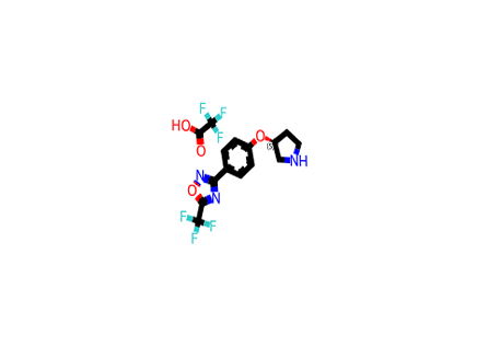 FC(F)(F)c1nc(-c2ccc(O[C@H]3CCNC3)cc2)no1.O=C(O)C(F)(F)F